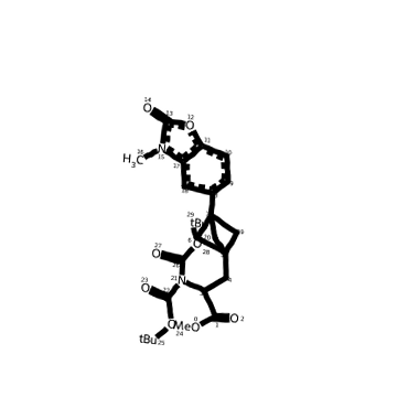 COC(=O)C(CC12CC(c3ccc4oc(=O)n(C)c4c3)(C1)C2)N(C(=O)OC(C)(C)C)C(=O)OC(C)(C)C